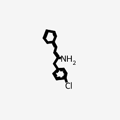 N/C(=C\C=C1\C=CC=CC1)Cc1ccc(Cl)cc1